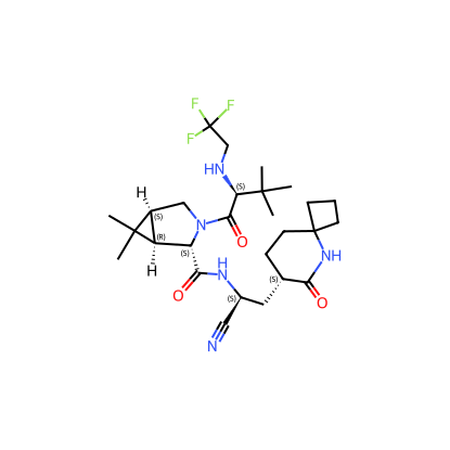 CC(C)(C)[C@H](NCC(F)(F)F)C(=O)N1C[C@H]2[C@@H]([C@H]1C(=O)N[C@H](C#N)C[C@@H]1CCC3(CCC3)NC1=O)C2(C)C